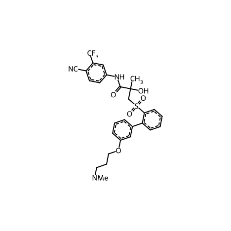 CNCCCOc1cccc(-c2ccccc2S(=O)(=O)CC(C)(O)C(=O)Nc2ccc(C#N)c(C(F)(F)F)c2)c1